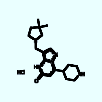 CC1(C)CCN(Cc2cnn3c(C4CCNCC4)cc(=O)[nH]c23)C1.Cl